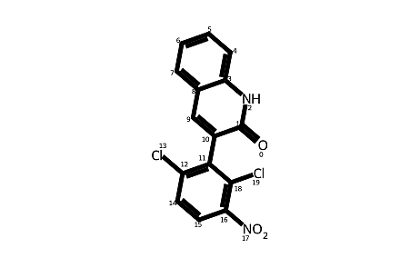 O=c1[nH]c2ccccc2cc1-c1c(Cl)ccc([N+](=O)[O-])c1Cl